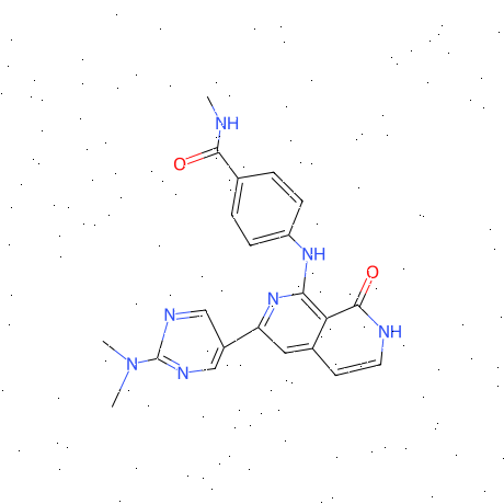 CNC(=O)c1ccc(Nc2nc(-c3cnc(N(C)C)nc3)cc3cc[nH]c(=O)c23)cc1